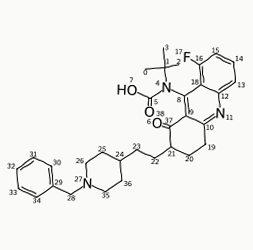 CC(C)(C)N(C(=O)O)c1c2c(nc3cccc(F)c13)CCC(CCC1CCN(Cc3ccccc3)CC1)C2=O